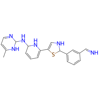 CC1=CC=NC(NC2C=CC=C(C3=CNC(c4cccc(C=N)c4)S3)N2)N1